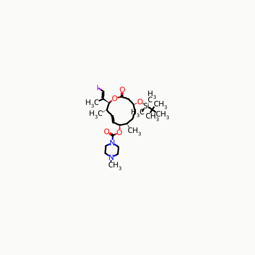 C/C(=C\I)[C@H]1OC(=O)C[C@H](O[Si](C)(C)C(C)(C)C)CC[C@H](C)[C@@H](OC(=O)N2CCN(C)CC2)/C=C/[C@@H]1C